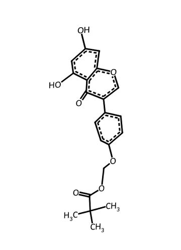 CC(C)(C)C(=O)OCOc1ccc(-c2coc3cc(O)cc(O)c3c2=O)cc1